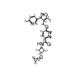 Cc1ccc(-c2noc(C)c2COc2ccc(C(=O)N[C@H]3C[C@@H](OC4CC4)C3)nn2)cn1